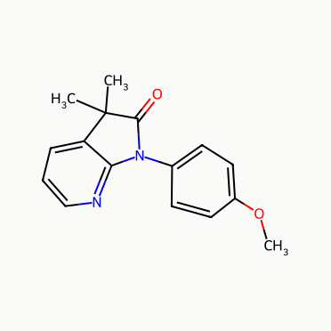 COc1ccc(N2C(=O)C(C)(C)c3cccnc32)cc1